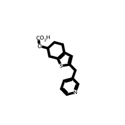 O=C(O)OC1CCc2cc(Cc3cccnc3)sc2C1